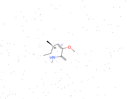 C=C(NC)/C(=C\[C@H](C)CC)OC